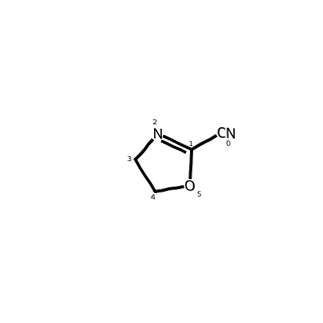 N#CC1=NCCO1